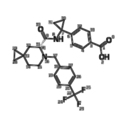 O=C(O)c1ccc(C2(NC(=O)[C@H]3CC4(CCN3Cc3ccc(C(F)(F)F)cc3)CC4)CC2)cc1